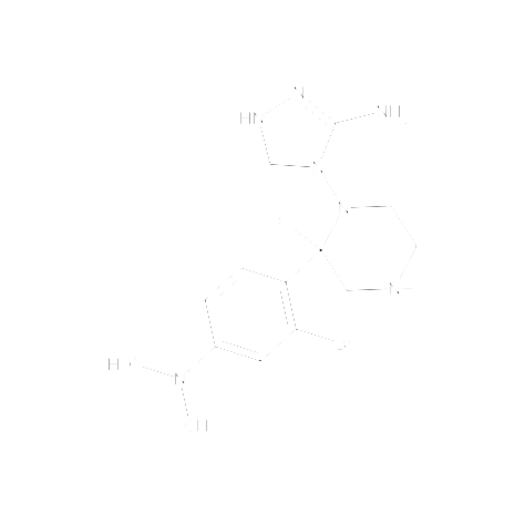 CN(C)c1ccc(C2(C)CNCCN2N2CNN=C2N)c(Br)c1